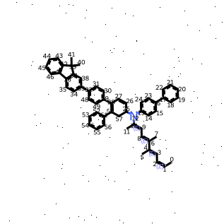 C\C=C/C=C(C)/C(C)=C/C=C(\C)N(c1ccc(-c2ccccc2)cc1)C1C=CC(c2ccc(-c3ccc4c(c3)C(C)(C)c3ccccc3-4)cc2)=C(c2ccccc2)C1